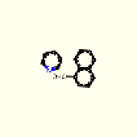 O=Cc1cccc2ccccc12.c1ccncc1